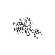 CC(C)(C)c1ccc(N2c3cc(C(F)(F)F)cc4c3B(c3cc(C(C)(C)C)ccc3N4c3ccc(C(C)(C)C)cc3-c3ccc4c(c3)C(C)(C)CCC4(C)C)c3oc4ccccc4c32)cc1